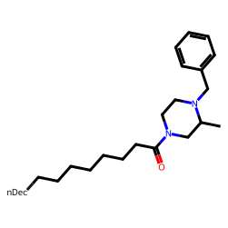 CCCCCCCCCCCCCCCCCC(=O)N1CCN(Cc2ccccc2)C(C)C1